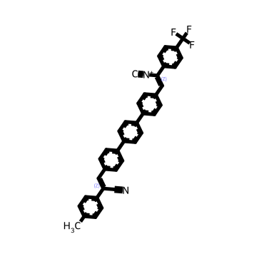 [C-]#[N+]/C(=C\c1ccc(-c2ccc(-c3ccc(/C=C(\C#N)c4ccc(C)cc4)cc3)cc2)cc1)c1ccc(C(F)(F)F)cc1